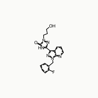 O=c1[nH]c(-c2nn(Cc3ccccc3F)c3ncccc23)nn1CCCO